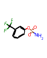 NS(=O)(=O)Oc1cccc(C(F)(F)F)c1